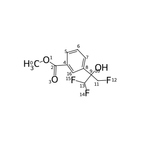 COC(=O)c1cccc(C(O)(CF)C(F)F)c1